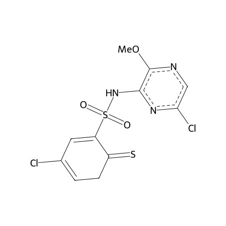 COc1ncc(Cl)nc1NS(=O)(=O)C1=CC(Cl)=CCC1=S